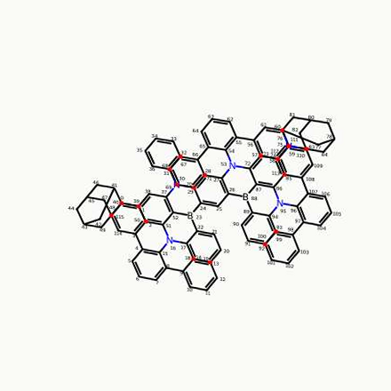 c1ccc(-c2cccc(-c3ccccc3)c2N2c3ccccc3B3c4cc5c(cc4N(c4ccccc4)c4cc(C6C7CC8CC(C7)CC6C8)cc2c43)N(c2c(-c3ccccc3)cccc2-c2ccccc2)c2cc(N3C4CC6CC(C4)CC3C6)cc3c2B5c2ccccc2N3c2c(-c3ccccc3)cccc2-c2ccccc2)cc1